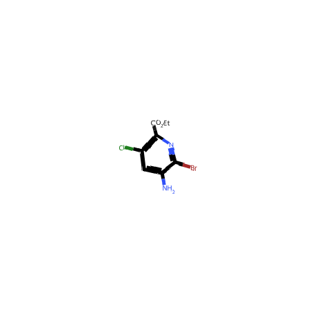 CCOC(=O)c1nc(Br)c(N)cc1Cl